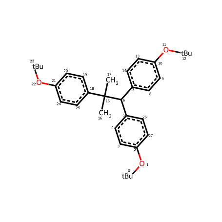 CC(C)(C)Oc1ccc(C(c2ccc(OC(C)(C)C)cc2)C(C)(C)c2ccc(OC(C)(C)C)cc2)cc1